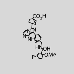 COc1ccc(F)cc1C(O)NCc1ccc(-c2nc(C34CCC(C(=O)O)(CC3)C4)n3ccnc(N)c23)cc1